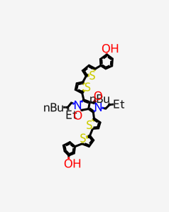 CCCCC(CC)CN1C(=O)C2=C(c3ccc(-c4ccc(-c5cccc(O)c5)s4)s3)N(CC(CC)CCCC)C(=O)C2=C1c1ccc(-c2ccc(-c3cccc(O)c3)s2)s1